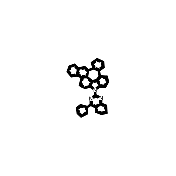 c1ccc(-c2nc(-n3c4cccc5c4c4c6c(cc7ccccc7c6ccc43)-c3ccccc3-5)nc3ccccc23)cc1